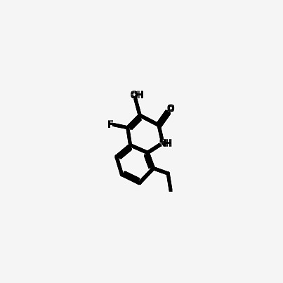 CCc1cccc2c(F)c(O)c(=O)[nH]c12